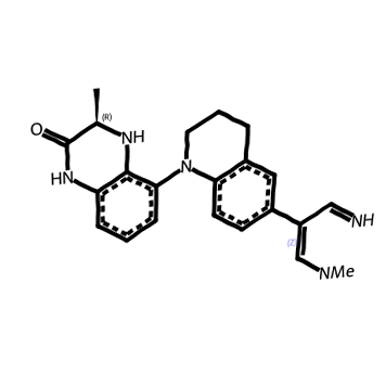 CN/C=C(\C=N)c1ccc2c(c1)CCCN2c1cccc2c1N[C@H](C)C(=O)N2